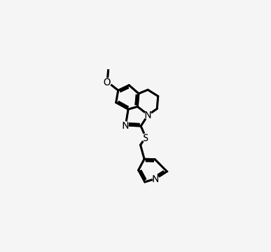 COc1cc2c3c(c1)nc(SCc1ccncc1)n3CCC2